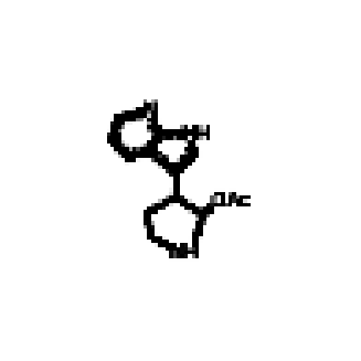 CC(=O)OC1CNCCC1c1c[nH]c2ncccc12